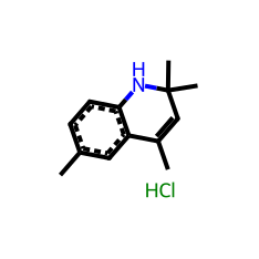 CC1=CC(C)(C)Nc2ccc(C)cc21.Cl